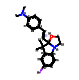 CN(C)c1ccc(/C=C/C23OCCN2c2ccc(I)cc2C3(C)C)cc1